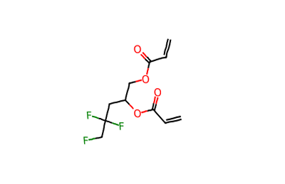 C=CC(=O)OCC(CC(F)(F)CF)OC(=O)C=C